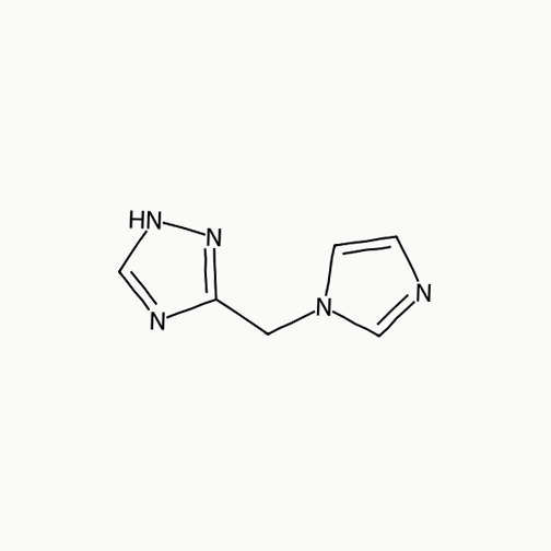 c1cn(Cc2nc[nH]n2)cn1